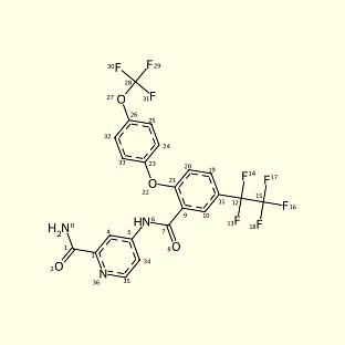 NC(=O)c1cc(NC(=O)c2cc(C(F)(F)C(F)(F)F)ccc2Oc2ccc(OC(F)(F)F)cc2)ccn1